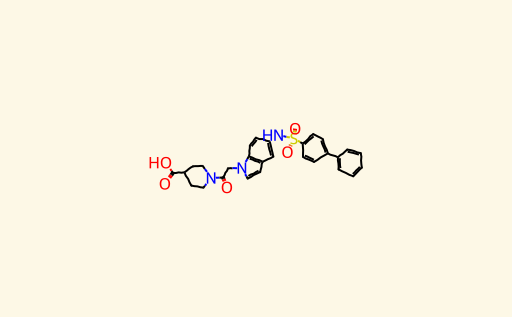 O=C(O)C1CCN(C(=O)Cn2ccc3cc(NS(=O)(=O)c4ccc(-c5ccccc5)cc4)ccc32)CC1